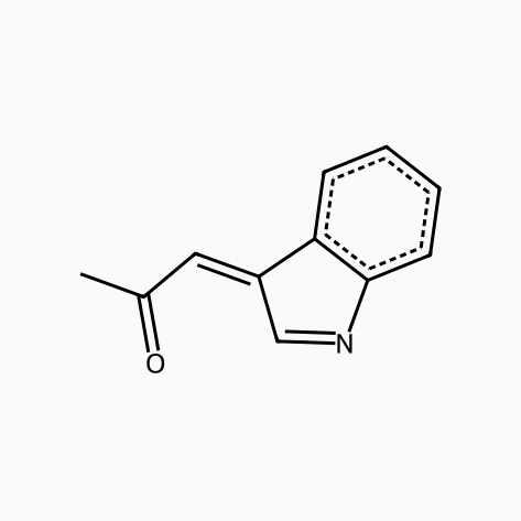 CC(=O)C=C1C=Nc2ccccc21